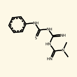 CN(C)C(=N)NC(=N)NC(=S)Nc1ccccc1